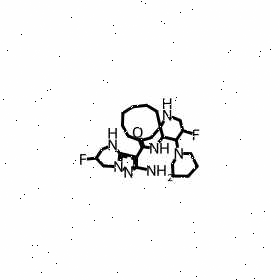 Nc1nn2c(c1C(=O)NC1C(N3CCCCC3)C(F)CNC13CCCCCCCC3)NCC(F)C2